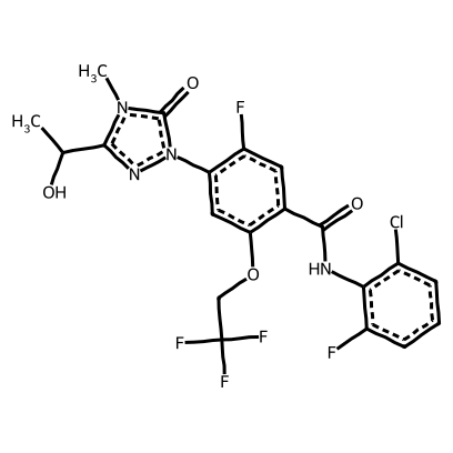 CC(O)c1nn(-c2cc(OCC(F)(F)F)c(C(=O)Nc3c(F)cccc3Cl)cc2F)c(=O)n1C